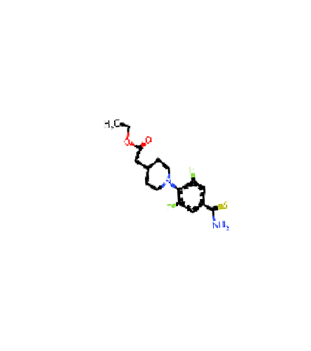 CCOC(=O)CC1CCN(c2c(F)cc(C(N)=S)cc2F)CC1